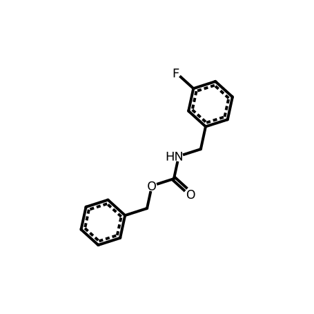 O=C(NCc1cccc(F)c1)OCc1ccccc1